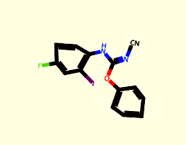 N#C/N=C(\Nc1ccc(F)cc1I)Oc1ccccc1